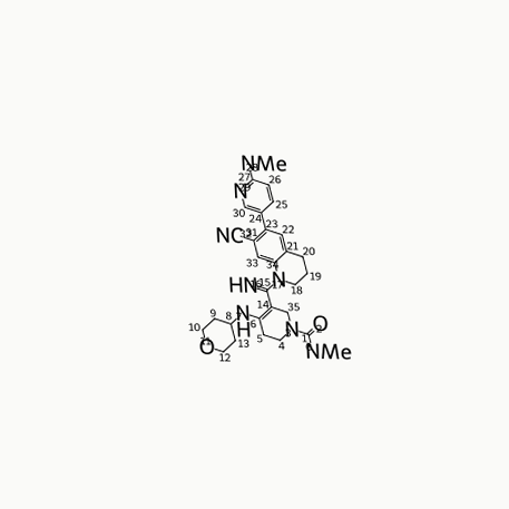 CNC(=O)N1CCC(NC2CCOCC2)=C(C(=N)N2CCCc3cc(-c4ccc(NC)nc4)c(C#N)cc32)C1